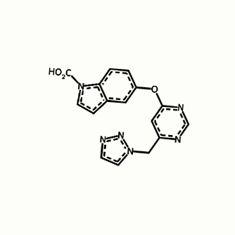 O=C(O)n1ccc2cc(Oc3cc(Cn4ccnn4)ncn3)ccc21